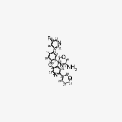 NC1=N[C@@]2(COC1)c1cc(-c3cncc(F)c3)ccc1Oc1cnc(C3=CCCOC3)cc12